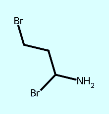 NC(Br)CCBr